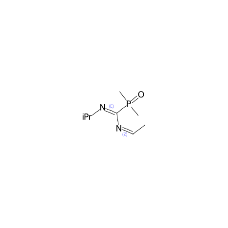 C/C=N\C(=N/C(C)C)P(C)(C)=O